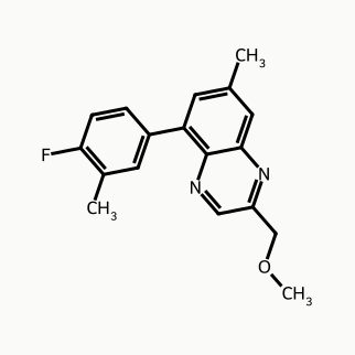 COCc1cnc2c(-c3ccc(F)c(C)c3)cc(C)cc2n1